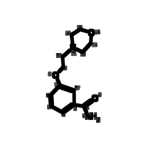 NC(=O)c1cccc(OCCN2CCOCC2)c1